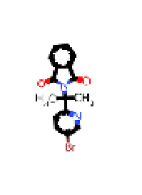 CC(C)(c1ccc(Br)cn1)N1C(=O)c2ccccc2C1=O